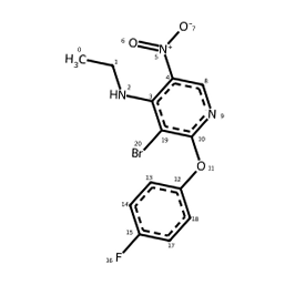 CCNc1c([N+](=O)[O-])cnc(Oc2ccc(F)cc2)c1Br